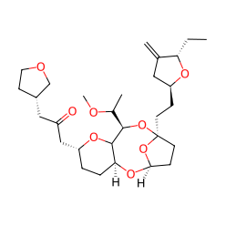 C=C1C[C@H](CC[C@@]23CC[C@@H](O[C@H]4CC[C@H](CC(=O)C[C@@H]5CCOC5)OC4[C@@H](C(C)OC)O2)O3)O[C@H]1CC